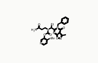 CCCCc1ccncc1OC(=O)N(CCC(N)=O)C(CC)c1nc2onc(C)c2c(=O)n1Cc1ccccc1